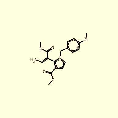 COC(=O)/C(=C\N)c1c(C(=O)OC)ccn1Cc1ccc(OC)cc1